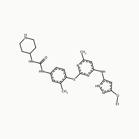 CCOc1cc(Nc2cc(C)nc(Sc3ccc(NC(=O)NC4CCNCC4)cc3C)n2)[nH]n1